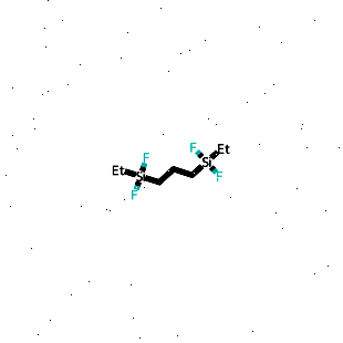 CC[Si](F)(F)CCC[Si](F)(F)CC